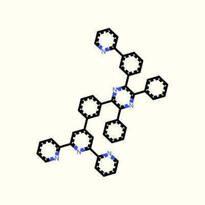 c1ccc(-c2nc(-c3ccccc3)c(-c3cccc(-c4ccccn4)c3)nc2-c2cccc(-c3cc(-c4ccccn4)nc(-c4ccccn4)c3)c2)cc1